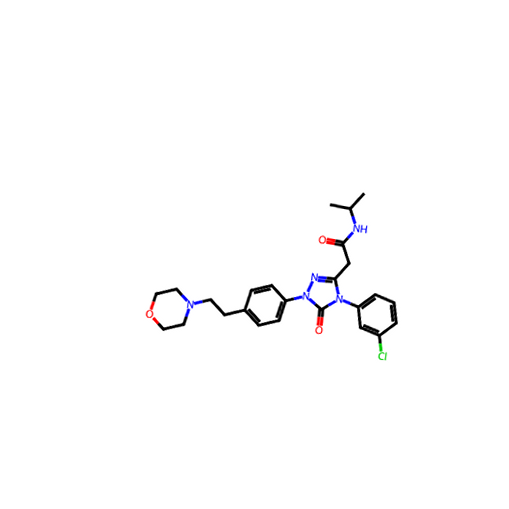 CC(C)NC(=O)Cc1nn(-c2ccc(CCN3CCOCC3)cc2)c(=O)n1-c1cccc(Cl)c1